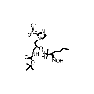 CCCCC(=NO)C(C)(C)NOC(CNC(=O)OC(C)(C)C)Cn1ccnc1[N+](=O)[O-]